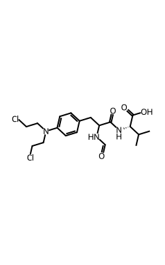 CC(C)[C@H](NC(=O)C(Cc1ccc(N(CCCl)CCCl)cc1)NC=O)C(=O)O